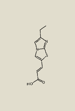 CCc1cn2cc(/C=C/C(=O)O)sc2n1